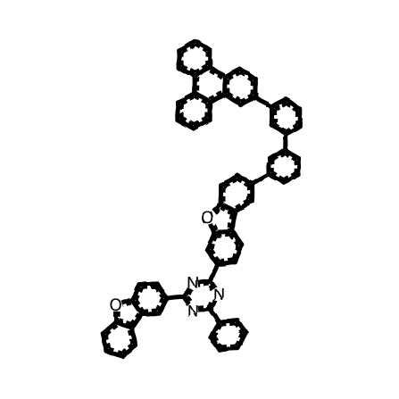 c1ccc(-c2nc(-c3ccc4c(c3)oc3ccc(-c5cccc(-c6cccc(-c7ccc8c9ccccc9c9ccccc9c8c7)c6)c5)cc34)nc(-c3ccc4oc5ccccc5c4c3)n2)cc1